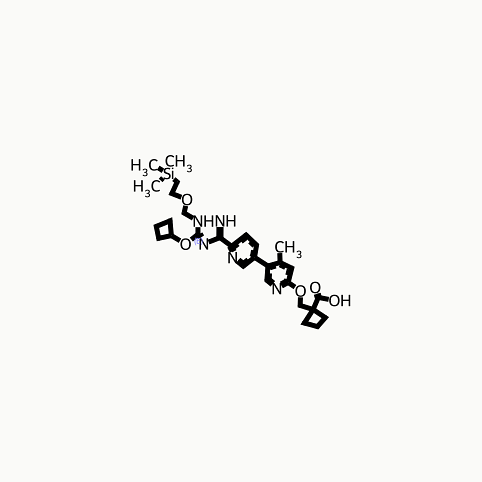 Cc1cc(OCC2(C(=O)O)CCC2)ncc1-c1ccc(C(=N)/N=C(\NCOCC[Si](C)(C)C)OC2CCC2)nc1